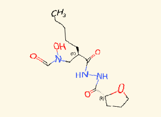 CCCCC[C@H](CN(O)C=O)C(=O)NNC(=O)[C@H]1CCCO1